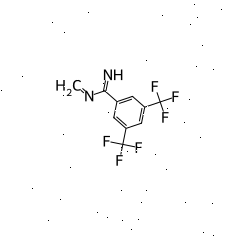 C=NC(=N)c1cc(C(F)(F)F)cc(C(F)(F)F)c1